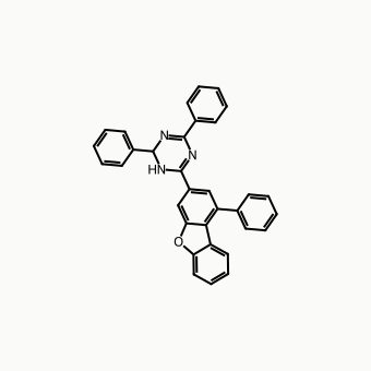 c1ccc(C2=NC(c3ccccc3)NC(c3cc(-c4ccccc4)c4c(c3)oc3ccccc34)=N2)cc1